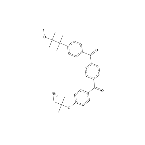 COC(C)(C)C(C)(C)c1ccc(C(=O)c2ccc(C(=O)c3ccc(OC(C)(C)CN)cc3)cc2)cc1